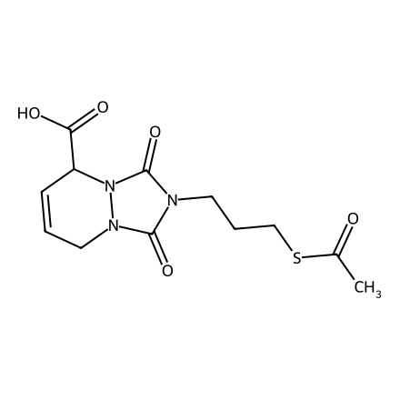 CC(=O)SCCCn1c(=O)n2n(c1=O)C(C(=O)O)C=CC2